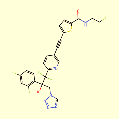 O=C(NCCF)c1ccc(C#Cc2ccc(C(F)(F)C(O)(Cn3cnnn3)c3ccc(F)cc3F)nc2)s1